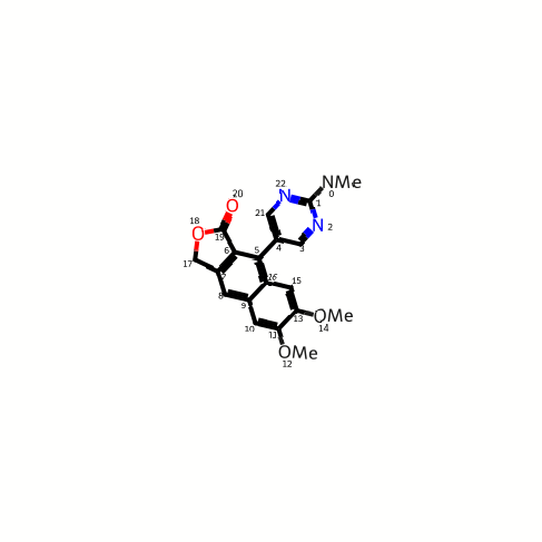 CNc1ncc(-c2c3c(cc4cc(OC)c(OC)cc24)COC3=O)cn1